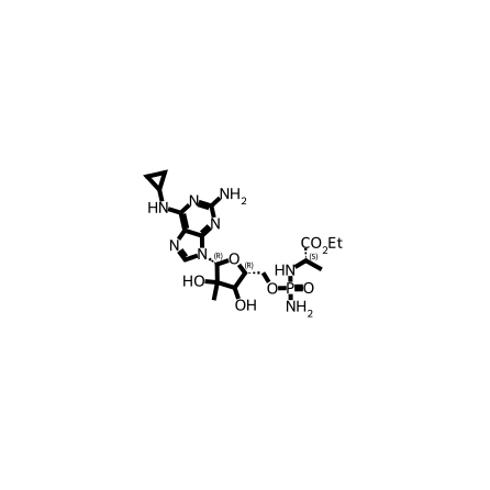 CCOC(=O)[C@H](C)NP(N)(=O)OC[C@H]1O[C@@H](n2cnc3c(NC4CC4)nc(N)nc32)C(C)(O)C1O